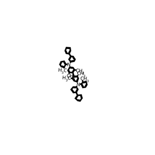 Cc1ccccc1N(c1cccc(-c2ccccc2)c1)c1cc(C)c(-c2c(C)cc(N(c3cccc(-c4ccccc4)c3)c3ccccc3C)cc2C)c(C)c1